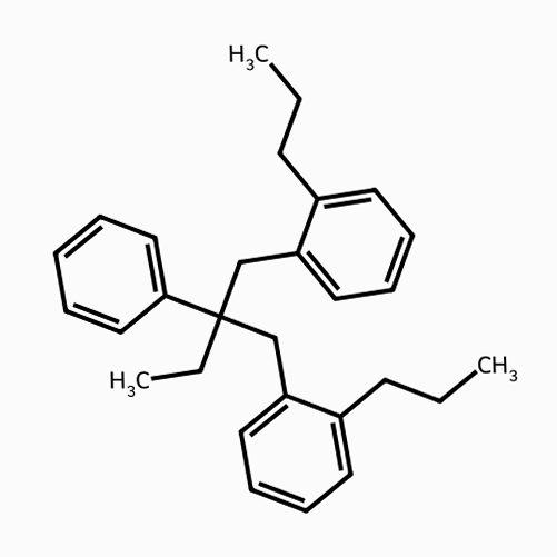 CCCc1ccccc1CC(CC)(Cc1ccccc1CCC)c1ccccc1